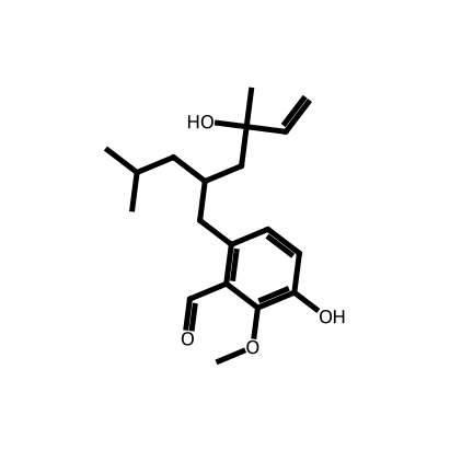 C=CC(C)(O)CC(Cc1ccc(O)c(OC)c1C=O)CC(C)C